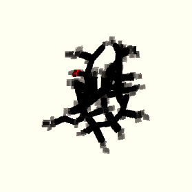 CC[O][Sn]([O][Sn]([O]CC)([C](F)(F)C(F)(F)C(C)F)[C](F)(F)C(F)(F)C(C)F)([C](F)(F)C(F)(F)C(C)F)[C](F)(F)C(F)(F)C(C)F